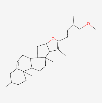 COCC(C)CCC1=C(C)C2C(CC3C4CC=C5CC(C)CCC5(C)C4CCC32C)O1